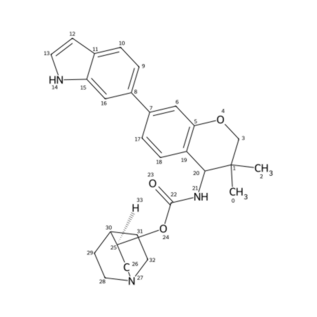 CC1(C)COc2cc(-c3ccc4cc[nH]c4c3)ccc2C1NC(=O)O[C@H]1CN2CCC1CC2